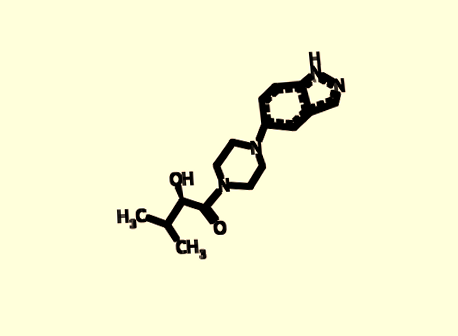 CC(C)[C@@H](O)C(=O)N1CCN(c2ccc3[nH]ncc3c2)CC1